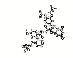 COc1ccc(C(=O)NCC(=O)O[C@@H](Cc2c(Cl)c[n+]([O-])cc2Cl)c2ccc(OC(F)F)c(OCC3CC3)c2)c(C2COCCN2CCNS(C)(=O)=O)c1